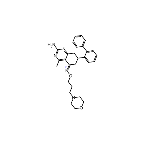 Cc1nc(N)nc2c1/C(=N/OCCCN1CCOCC1)CC(c1ccccc1-c1ccccc1)C2